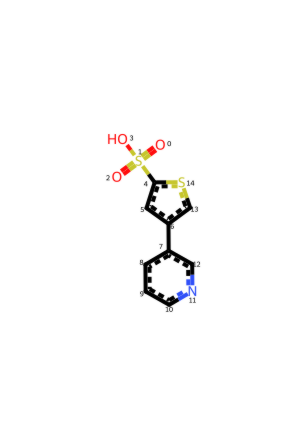 O=S(=O)(O)c1cc(-c2cccnc2)cs1